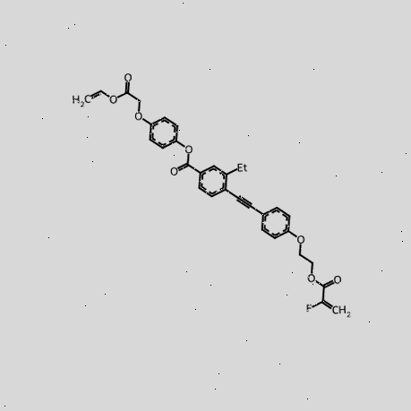 C=COC(=O)COc1ccc(OC(=O)c2ccc(C#Cc3ccc(OCCOC(=O)C(=C)F)cc3)c(CC)c2)cc1